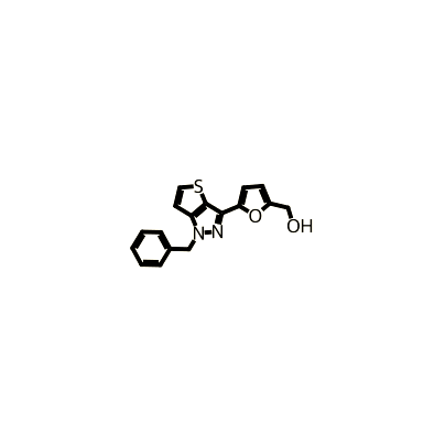 OCc1ccc(-c2nn(Cc3ccccc3)c3ccsc23)o1